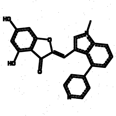 Cn1cc(C=C2Oc3cc(O)cc(O)c3C2=O)c2c(-c3ccncc3)cccc21